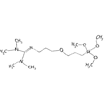 CO[Si](CCCOCCCN=C(N(C)C)N(C)C)(OC)OC